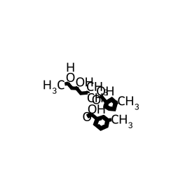 CC(C)CC(O)CC(C)O.Cc1cccc(C(=O)O)c1.Cc1cccc(C(=O)O)c1